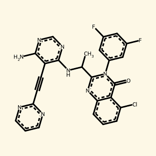 CC(Nc1ncnc(N)c1C#Cc1ncccn1)c1nc2cccc(Cl)c2c(=O)n1-c1cc(F)cc(F)c1